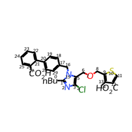 CCCCc1nc(Cl)c(COCc2sccc2C(=O)O)n1Cc1ccc(-c2ccccc2C(=O)O)cc1